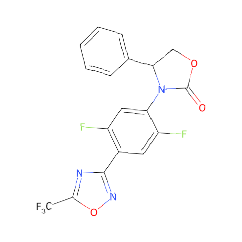 O=C1OCC(c2ccccc2)N1c1cc(F)c(-c2noc(C(F)(F)F)n2)cc1F